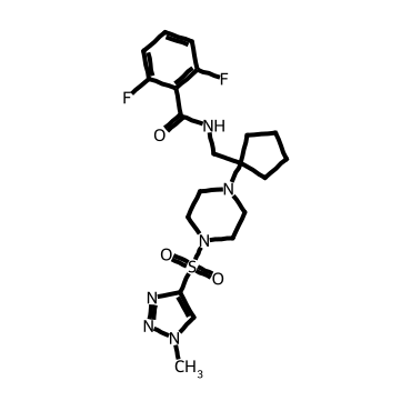 Cn1cc(S(=O)(=O)N2CCN(C3(CNC(=O)c4c(F)cccc4F)CCCC3)CC2)nn1